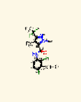 Cn1nc(C(F)(F)C(F)(F)F)c(C(F)(F)F)c1C(=O)Nc1ccc(F)c(C=O)c1F